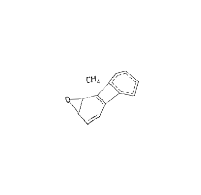 C.C1=CC2OC2C2=C1c1ccccc12